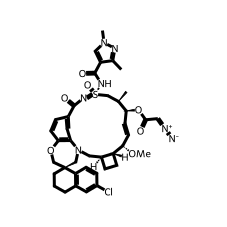 CO[C@H]1/C=C/[C@H](OC(=O)C=[N+]=[N-])[C@H](C)C[S@@](=O)(NC(=O)c2cn(C)nc2C)=NC(=O)c2ccc3c(c2)N(C[C@@H]2CC[C@H]21)C[C@@]1(CCCc2cc(Cl)ccc21)CO3